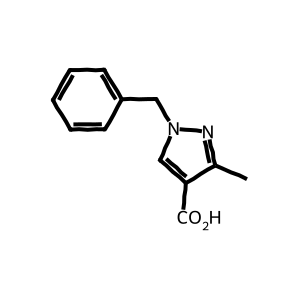 Cc1nn(Cc2ccccc2)cc1C(=O)O